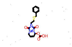 O=C(O)OC1C=CCn2c(=O)n(CCSCc3ccccc3)c(=O)n21